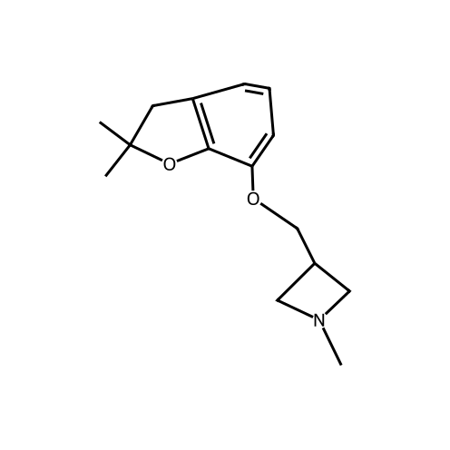 CN1CC(COc2cccc3c2OC(C)(C)C3)C1